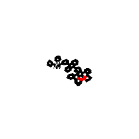 C1=CCCC(c2ccccc2C2=c3ccc(-c4c5ccccc5c(-c5cccc(-c6nnc(C7=CCCC=C7)n6C6C=CC=CC6)c5)c5ccccc45)cc3=C(c3ccccc3C3=CC=CCC3)C3CC=CC=C23)=C1